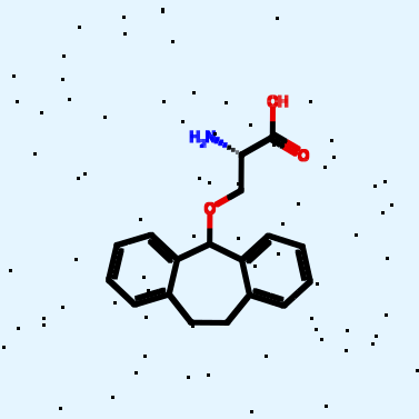 N[C@@H](COC1c2ccccc2CCc2ccccc21)C(=O)O